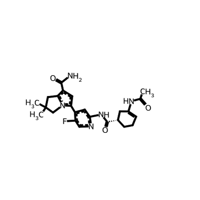 CC(=O)NC1=CCC[C@H](C(=O)Nc2cc(-c3cc(C(N)=O)c4n3CC(C)(C)C4)c(F)cn2)C1